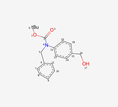 CC(C)(C)OC(=O)N(Cc1ccccc1)c1ccc(CO)cc1